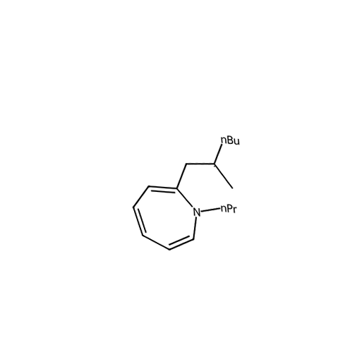 CCCC[C](C)CC1=CC=CC=CN1CCC